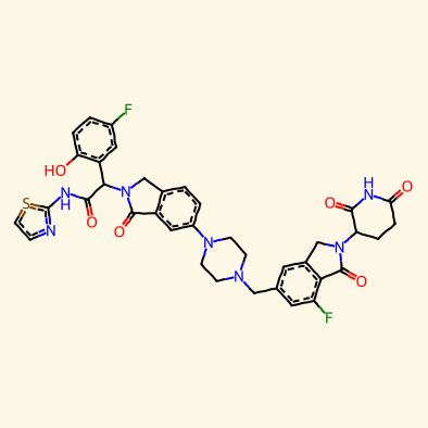 O=C1CCC(N2Cc3cc(CN4CCN(c5ccc6c(c5)C(=O)N(C(C(=O)Nc5nccs5)c5cc(F)ccc5O)C6)CC4)cc(F)c3C2=O)C(=O)N1